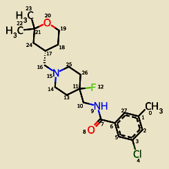 Cc1cc(Cl)cc(C(=O)NCC2(F)CCN(C[C@H]3CCOC(C)(C)C3)CC2)c1